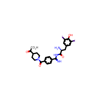 N=C(NC(=O)[C@@H](N)Cc1cc(I)c(O)c(I)c1)c1ccc(C(=O)N2CCC(C(=O)C(=O)O)CC2)cc1